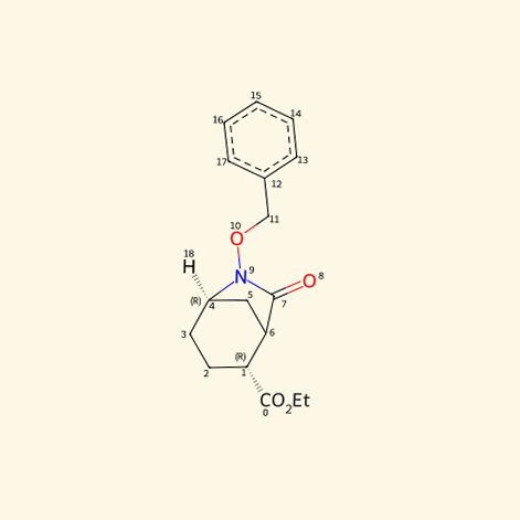 CCOC(=O)[C@@H]1CC[C@@H]2CC1C(=O)N2OCc1ccccc1